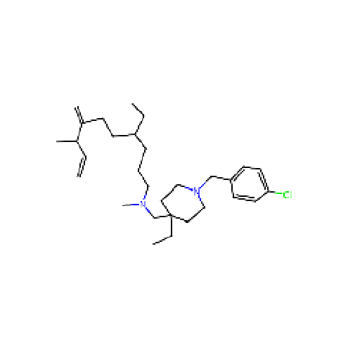 C=CC(C)C(=C)CCC(CC)CCCN(C)CC1(CC)CCN(Cc2ccc(Cl)cc2)CC1